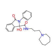 O=C1c2ccccc2C(O)(C(=O)NCCCN2CCCCCC2)N1c1ccccc1